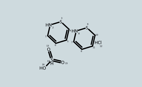 C1=CNSC=C1.C1=CNSC=C1.Cl.O=[SH](=O)O